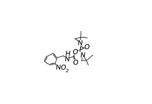 CC1(C)CN1P(=O)(OC(=O)NCc1ccccc1[N+](=O)[O-])N1CC1(C)C